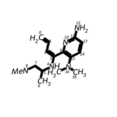 C=C/C=C(/NC(C)CNC)c1nc(N)ccc1N(C)C